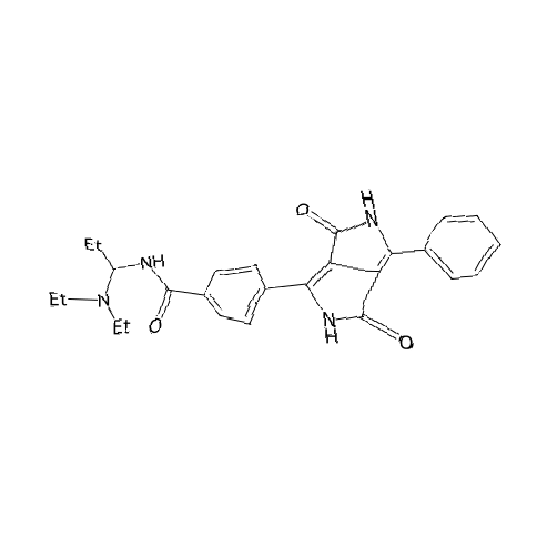 CCC(NC(=O)c1ccc(C2=C3C(=O)NC(c4ccccc4)=C3C(=O)N2)cc1)N(CC)CC